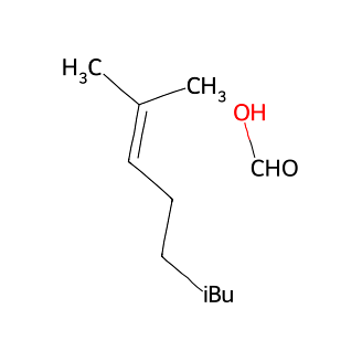 CCC(C)CCC=C(C)C.O=CO